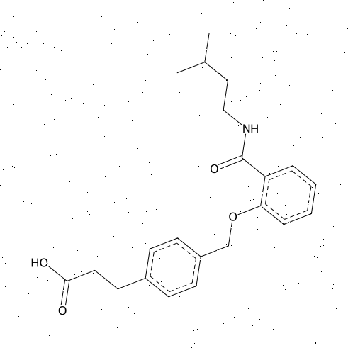 CC(C)CCNC(=O)c1ccccc1OCc1ccc(CCC(=O)O)cc1